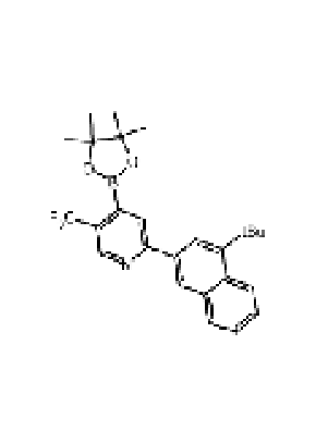 CC(C)(C)c1cc(-c2cc(B3OC(C)(C)C(C)(C)O3)c(C(F)(F)F)cn2)cc2ccccc12